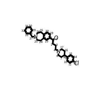 O=C(CCCN1CCC(c2ccc(Cl)cc2)CC1)c1ccc2c(c1)CCN(Cc1ccccc1)CC2